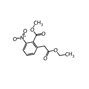 CCOC(=O)Cc1cccc([N+](=O)[O-])c1C(=O)OC